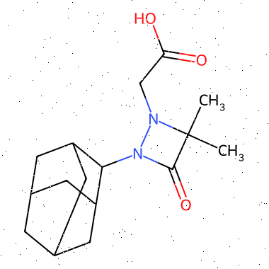 CC1(C)C(=O)N(C2C3CC4CC(C3)CC2C4)N1CC(=O)O